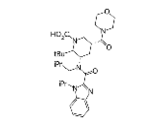 CC(C)CN(C(=O)c1nc2ccccc2n1C(C)C)[C@H]1C[C@@H](C(=O)N2CCOCC2)CN(C(=O)O)C1C(C)(C)C